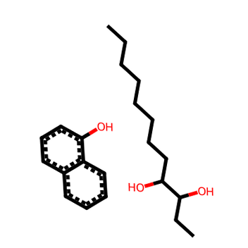 CCCCCCCCC(O)C(O)CC.Oc1cccc2ccccc12